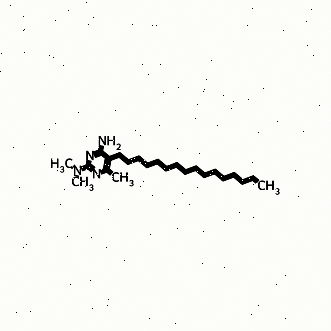 CCCCCCCCCCCCCCCCc1c(C)nc(N(C)C)nc1N